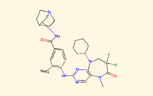 COc1cc(C(=O)NC2CN3CCC2CC3)ccc1Nc1ncc2c(n1)N(C1CCCCC1)CC(F)(F)C(=O)N2C